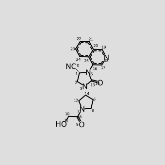 N#C[C@H]1CN([C@@H]2CCN(C(=O)CO)C2)C(=O)N1c1cncc2ccccc12